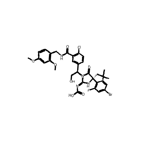 COc1ccc(CNC(=O)c2cc(C(CO)N3C(=O)[C@@](CC(C)(C)C)(c4ccc(Br)cc4F)NC3=NC(=O)O)ccc2Cl)c(OC)c1